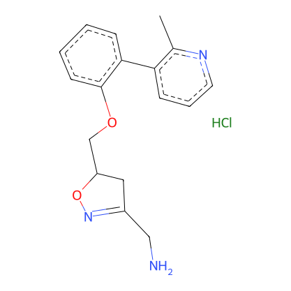 Cc1ncccc1-c1ccccc1OCC1CC(CN)=NO1.Cl